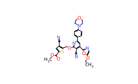 CCOc1cnc(-c2cc(-c3ccc(N4CCOCC4)cc3)nc(OCc3sc(C(=O)OC)cc3C#N)c2C#N)o1